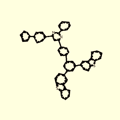 c1ccc(-c2ccc(-c3cc(-c4ccc(-c5cc(-c6ccc7sc8ccccc8c7c6)cc(-c6ccc7sc8ccccc8c7c6)c5)cc4)nc(-c4ccccc4)n3)cc2)cc1